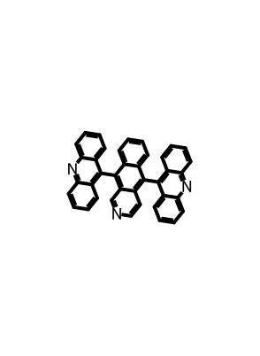 c1ccc2c(-c3c4ccccc4c(-c4c5ccccc5nc5ccccc45)c4cnccc34)c3ccccc3nc2c1